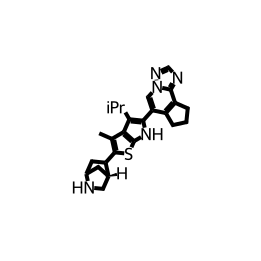 Cc1c(C2CC3C[C@H]2CN3)sc2[nH]c(-c3cn4ncnc4c4c3CCC4)c(C(C)C)c12